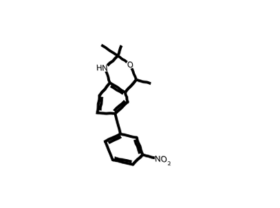 CC1OC(C)(C)Nc2ccc(-c3cccc([N+](=O)[O-])c3)cc21